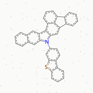 c1ccc2c(c1)-c1cccc3c1c-2cc1c3c2cc3ccccc3cc2n1-c1ccc2c(c1)sc1ccccc12